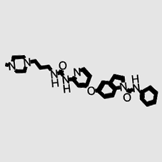 CN1CCN(CCCNC(=O)Nc2cc(Oc3ccc4c(ccn4C(=O)Nc4ccccc4)c3)ccn2)CC1